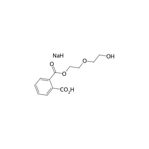 O=C(O)c1ccccc1C(=O)OCCOCCO.[NaH]